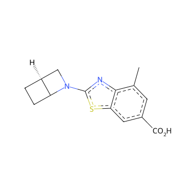 Cc1cc(C(=O)O)cc2sc(N3C[C@@H]4CCC43)nc12